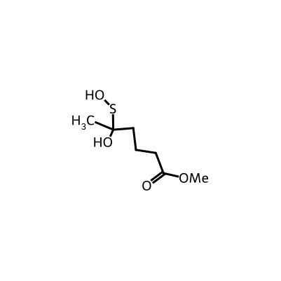 COC(=O)CCCC(C)(O)SO